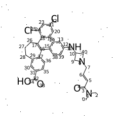 CN(C)C(=O)/C=C/CN1CC(Nc2ccc(C3=C(c4ccc(Cl)cc4Cl)CCCc4cc(C(=O)O)ccc43)cc2)C1